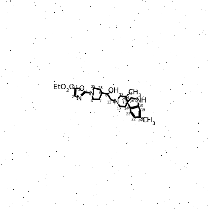 CCOC(=O)c1cnc(N2CCC(C(O)CN3CCC4(CNc5cc(C)ccc54)[C@H](C)C3)CC2)o1